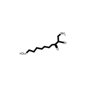 CCCCCCCCCCCCCCCC(=O)C(CC)CN